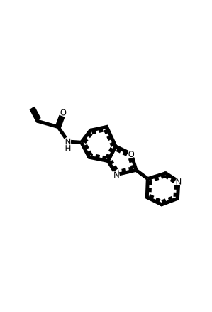 C=CC(=O)Nc1ccc2oc(-c3cccnc3)nc2c1